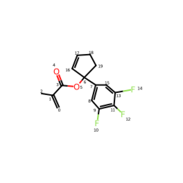 C=C(C)C(=O)OC1(c2cc(F)c(F)c(F)c2)C=CCC1